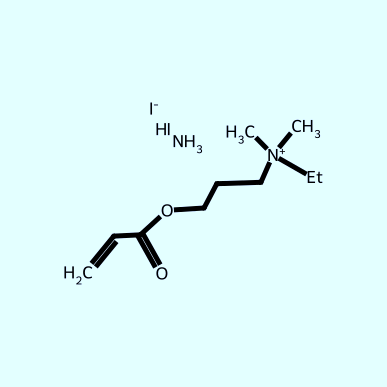 C=CC(=O)OCCC[N+](C)(C)CC.I.N.[I-]